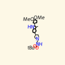 COc1ccc(-c2[nH]c3ccc(C4CCN(CCNC(=O)OC(C)(C)C)CC4)cc3c2C)cc1OC